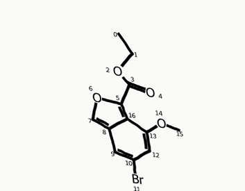 CCOC(=O)c1occ2cc(Br)cc(OC)c12